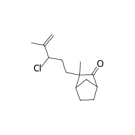 C=C(C)C(Cl)CCC1(C)C(=O)C2CCC1C2